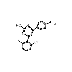 Oc1nc(-c2ccc(C(F)(F)F)cc2)nc(-c2c(F)cccc2Cl)n1